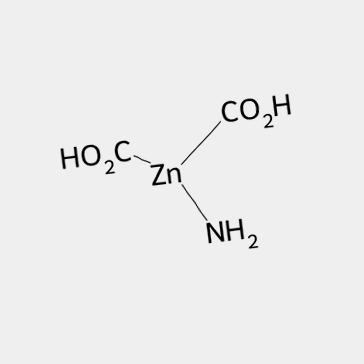 [NH2][Zn]([C](=O)O)[C](=O)O